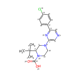 CC(C)(C)C1CN(c2cncc(-c3ccc(Cl)cc3)n2)CCN1C(=O)O